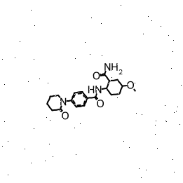 COC1CCC(NC(=O)c2ccc(N3CCCCC3=O)cc2)C(C(N)=O)C1